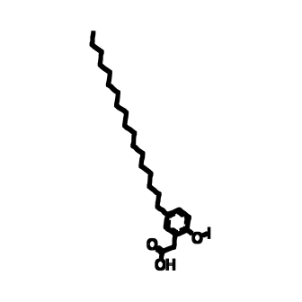 CCCCCCCCCCCCCCCCCCc1ccc(OI)c(CC(=O)O)c1